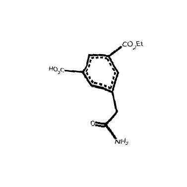 CCOC(=O)c1cc(CC(N)=O)cc(C(=O)O)c1